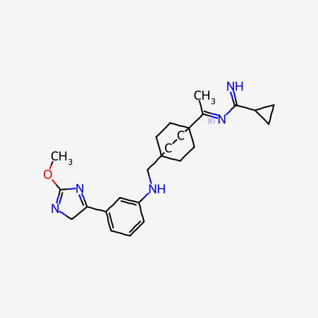 COC1=NCC(c2cccc(NCC34CCC(/C(C)=N/C(=N)C5CC5)(CC3)CC4)c2)=N1